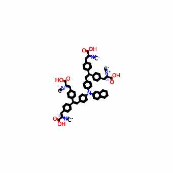 [C-]#[N+]/C(=C\c1ccc(C(=Cc2ccc(N(c3ccc(C=C(c4ccc(/C=C(\[N+]#[C-])C(=O)O)cc4)c4ccc(/C=C(\[N+]#[C-])C(=O)O)cc4)cc3)c3ccc4ccccc4c3)cc2)c2ccc(/C=C(\[N+]#[C-])C(=O)O)cc2)cc1)C(=O)O